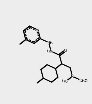 Cc1ccnc(NNC(=O)C(CN(O)C=O)C2CCC(C)CC2)c1